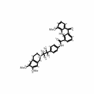 [2H]C([2H])(c1ccc(NC(=O)c2cccc3c(=O)c4cccc(OC)c4[nH]c23)cc1)C([2H])([2H])N1CCc2cc(OC)c(OC)cc2C1